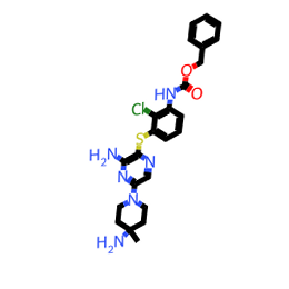 CC1(N)CCN(c2cnc(Sc3cccc(NC(=O)OCc4ccccc4)c3Cl)c(N)n2)CC1